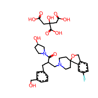 O=C(C(Cc1cccc(CO)c1)CN1CCC2(CC1)OCc1ccc(F)cc12)N1CC[C@@H](O)C1.O=C(O)CC(O)(CC(=O)O)C(=O)O